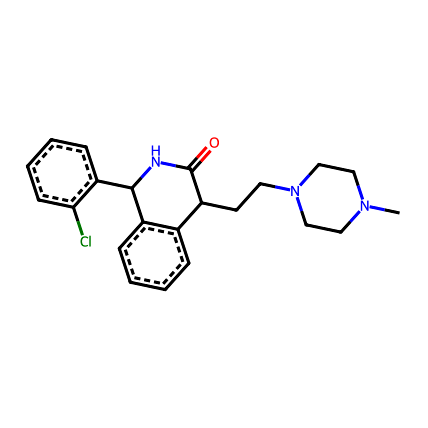 CN1CCN(CCC2C(=O)NC(c3ccccc3Cl)c3ccccc32)CC1